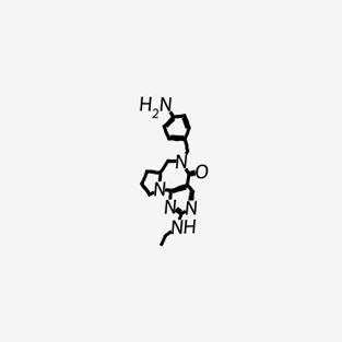 CCNc1ncc2c(n1)N1CCCC1CN(Cc1ccc(N)cc1)C2=O